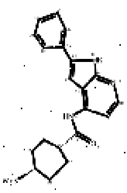 CS[C@H]1CC[C@H](C(=O)Nc2ccnc3[nH]c(-c4ccccc4)cc23)CC1